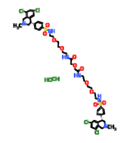 CN1Cc2c(Cl)cc(Cl)cc2[C@H](c2ccc(S(=O)(=O)NCCOCCOCCNC(=O)COCC(=O)NCCOCCOCCNS(=O)(=O)c3ccc([C@@H]4CN(C)Cc5c(Cl)cc(Cl)cc54)cc3)cc2)C1.Cl.Cl